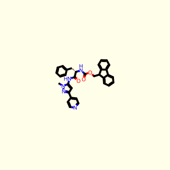 Cn1nc(-c2ccncc2)cc1NC(=O)[C@H](Cc1ccccc1)NC(=O)OCC1c2ccccc2-c2ccccc21